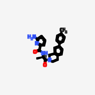 C[C@@H](NC(=O)c1cccc(N)n1)C(=O)N1CCc2ccc(-c3ccc(C(F)(F)F)cc3)cc2C1